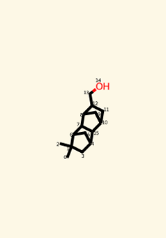 CC1(C)CC2CC1C1C3CC(CC3CO)C21